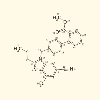 CCCc1nc2c(C)cc(C#N)cc2n1Cc1ccc(-c2ccccc2C(=O)OC)cc1